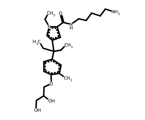 CCn1cc(C(CC)(CC)c2ccc(OCC(O)CO)c(C)c2)cc1C(=O)NCCCCCN